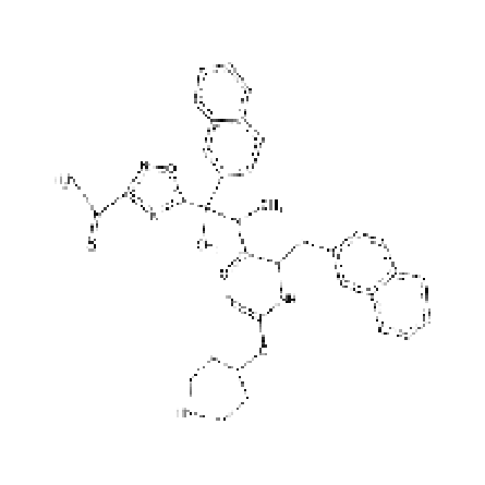 CN(C(=O)C(Cc1ccc2ccccc2c1)NC(=O)OC1CCNCC1)C(C)(c1ccc2ccccc2c1)c1nc(C(N)=O)no1